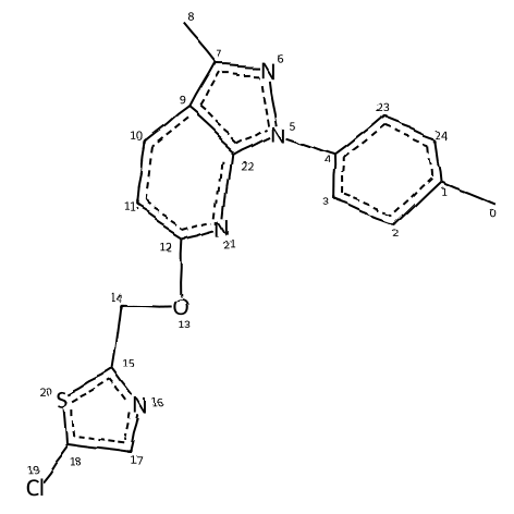 Cc1ccc(-n2nc(C)c3c[c]c(OCc4ncc(Cl)s4)nc32)cc1